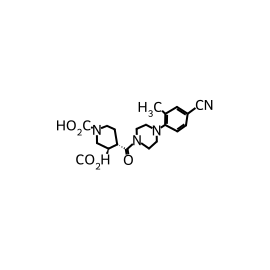 Cc1cc(C#N)ccc1N1CCN(C(=O)[C@H]2CCN(C(=O)O)C[C@@H]2C(=O)O)CC1